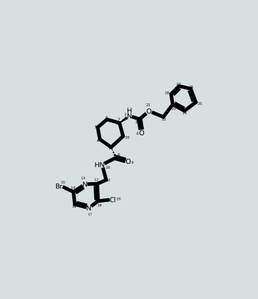 O=C(N[C@@H]1CCC[C@@H](C(=O)NCc2nc(Br)cnc2Cl)C1)OCc1ccccc1